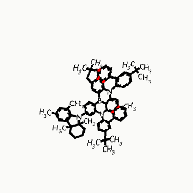 Cc1cc2c3c(c1)N(c1ccc(C(C)(C)C)cc1-c1ccccc1)c1cc4c(cc1B3c1ccc(N3c5c(C)cc(C)cc5C5(C)CCCCC35C)cc1N2c1ccc(C(C)(C)C)cc1-c1ccccc1)CC(C)(C)C4